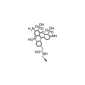 C#CCNC(O)Cc1ccc(C(=O)O)c(-c2c3ccc(=N)c(S(=O)(=O)O)c-3oc3c(S(=O)(=O)O)c(N)ccc23)c1